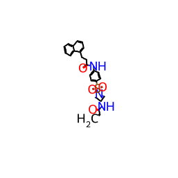 C=CC(=O)NC1CN(S(=O)(=O)c2ccc(NC(=O)CCc3cccc4ccccc34)cc2)C1